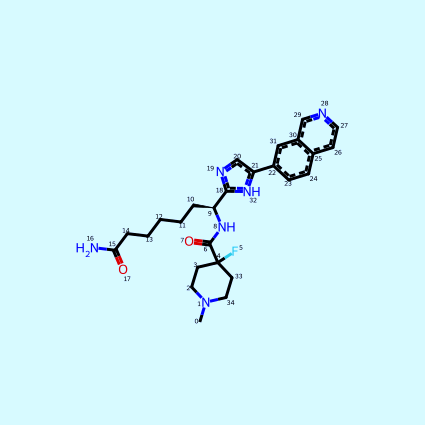 CN1CCC(F)(C(=O)N[C@@H](CCCCCC(N)=O)c2ncc(-c3ccc4ccncc4c3)[nH]2)CC1